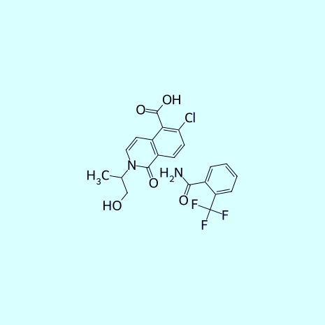 CC(CO)n1ccc2c(C(=O)O)c(Cl)ccc2c1=O.NC(=O)c1ccccc1C(F)(F)F